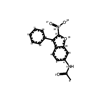 CC(=O)Nc1ccc2c(-c3ccccc3)c([N+](=O)[O-])oc2c1